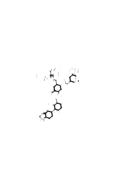 Cc1c(COc2cc(OCc3cncc(C#N)c3)c(CNC(C)(C)CO)cc2Cl)cccc1-c1ccc2ncsc2c1